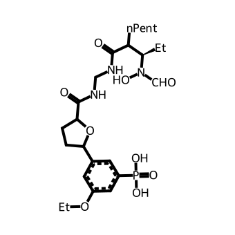 CCCCCC(C(=O)NCNC(=O)C1CCC(c2cc(OCC)cc(P(=O)(O)O)c2)O1)[C@@H](CC)N(O)C=O